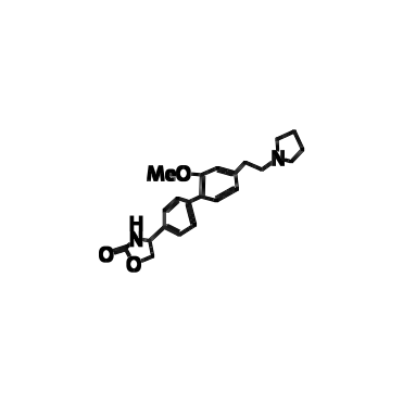 COc1cc(CCN2CCCC2)ccc1-c1ccc(C2COC(=O)N2)cc1